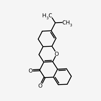 CC(C)C1=CC2OC3=C(CC2CC1)C(=O)C(=O)C1=CCCC=C13